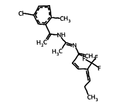 C=C(/C=C\C(=C/CC)C(F)(F)F)/N=C(\C)NC(=C)c1cc(Cl)ccc1C